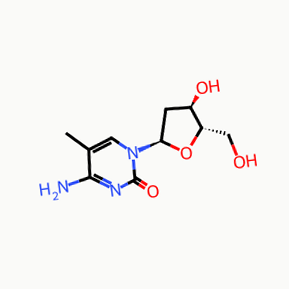 Cc1cn([C@H]2C[C@@H](O)[C@H](CO)O2)c(=O)nc1N